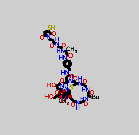 CCC(C)C1NC(=O)CNC(=O)C2Cc3c([nH]c4ccccc34)SCC(NC(=O)CNC1=O)C(=O)NC(CC(=O)NCc1ccc(NC(=O)[C@H](C)NC(=O)CNC(=O)CCN3C(=O)CC(S)C3=O)cc1)C(=O)N1CC(O)CC1NC(C(C)C(O)CO)C(=O)N2